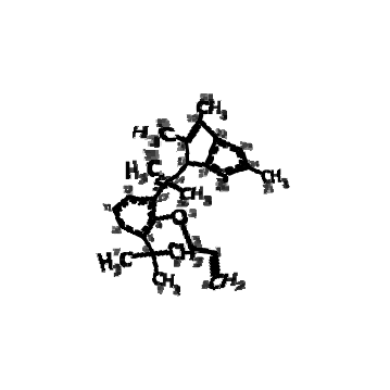 C=CCOc1c(C(C)(C)C)cccc1[Si](C)(C)C1C(C)=C(C)c2cc(C)sc21